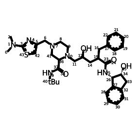 CN(C)c1nc(CN2CCN(CC(O)CC(Cc3ccccc3)C(=O)N[C@H]3c4ccccc4C[C@H]3O)C(C(=O)NC(C)(C)C)C2)cs1